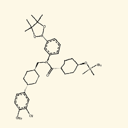 COc1ccc([C@H]2CC[C@H](CN(c3cccc(B4OC(C)(C)C(C)(C)O4)c3)C(=O)[C@H]3CC[C@H](O[Si](C)(C)C(C)(C)C)CC3)CC2)cc1C#N